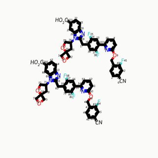 N#Cc1ccc(COc2cccc(-c3cc(F)c(Cc4nc5ccc(C(=O)O)cc5n4C4COC5(COC5)C4)cc3F)n2)c(F)c1.N#Cc1ccc(COc2cccc(-c3cc(F)c(Cc4nc5ccc(C(=O)O)cc5n4C4COC5(COC5)C4)cc3F)n2)c(F)c1